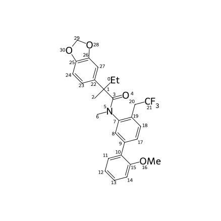 CCC(C)(C(=O)N(C)c1cc(-c2ccccc2OC)ccc1CC(F)(F)F)c1ccc2c(c1)OCO2